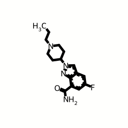 CCCN1CCC(n2cc3cc(F)cc(C(N)=O)c3n2)CC1